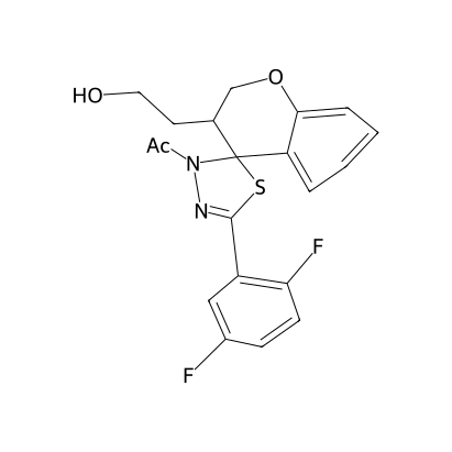 CC(=O)N1N=C(c2cc(F)ccc2F)SC12c1ccccc1OCC2CCO